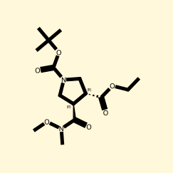 CCOC(=O)[C@H]1CN(C(=O)OC(C)(C)C)C[C@@H]1C(=O)N(C)OC